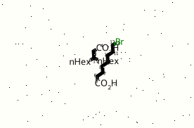 CCCCCCC(CCCCCC)CC(=O)O.O=C(O)CCCCCCCBr